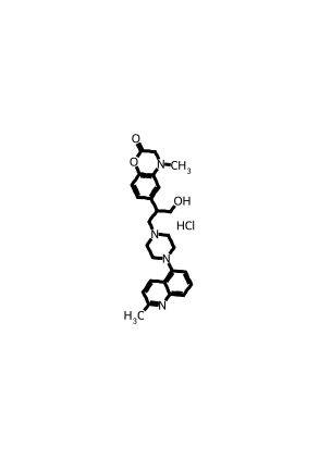 Cc1ccc2c(N3CCN(CC(CO)c4ccc5c(c4)N(C)CC(=O)O5)CC3)cccc2n1.Cl